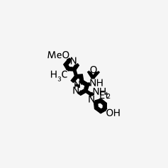 CCc1cc(O)ccc1/N=C(\N)c1cnn2cc(-c3cnc(OC)cc3C)cc2c1NC1COC1